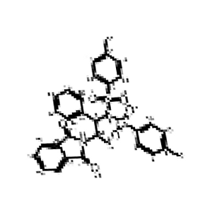 Cc1ccc(S(=O)(=O)N(C(c2ccccc2)C(C)N2C(=O)c3ccccc3C2=O)S(=O)(=O)c2ccc(C)cc2)cc1